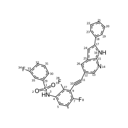 O=S(=O)(Nc1ccc(F)c(C#Cc2cnc3[nH]c(-c4ccccc4)cc3c2)c1F)c1cccc(F)c1